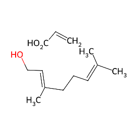 C=CC(=O)O.CC(C)=CCCC(C)=CCO